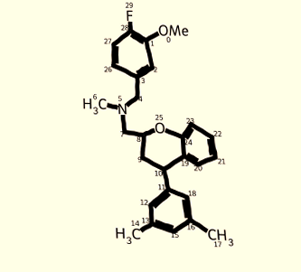 COc1cc(CN(C)CC2CC(c3cc(C)cc(C)c3)c3ccccc3O2)ccc1F